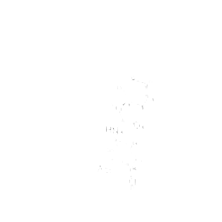 CC(=O)c1cc(NC(=O)O[C@@H]2CC=CCC2)ccc1Cl